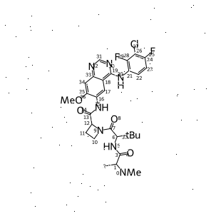 CNC(C)C(=O)NC(C(=O)N1CCC1C(=O)Nc1cc2c(Nc3ccc(F)c(Cl)c3F)ncnc2cc1OC)C(C)(C)C